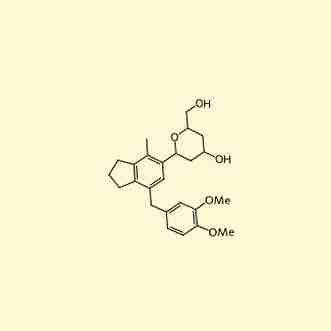 COc1ccc(Cc2cc(C3CC(O)CC(CO)O3)c(C)c3c2CCC3)cc1OC